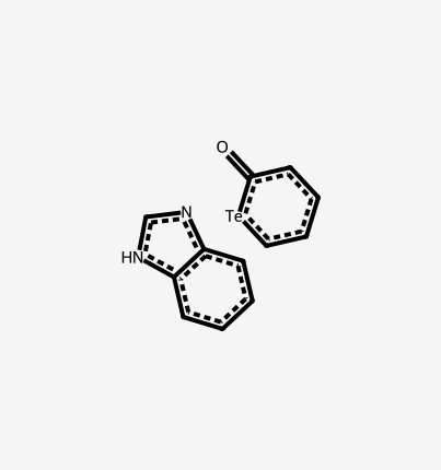 O=c1cccc[te]1.c1ccc2[nH]cnc2c1